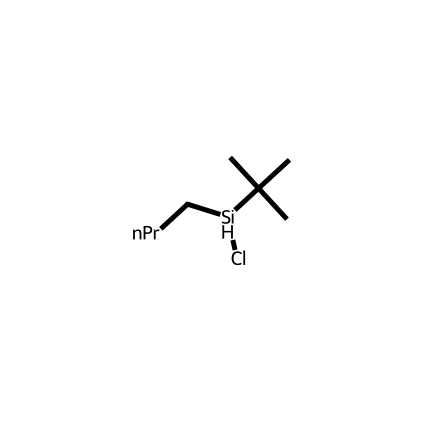 CCCC[SiH](Cl)C(C)(C)C